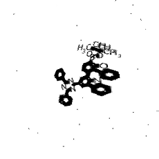 CC1(C)OB(c2ccc3c4cc(-c5nc(-c6ccccc6)nc(-c6ccccc6)n5)cc5c6ccccc6n(c6cccc7oc2c3c76)c45)OC1(C)C